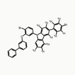 [2H]c1cc2c(c([2H])c1[2H])c1c([2H])c(-c3c([2H])c([2H])c([2H])c([2H])c3[2H])c([2H])c([2H])c1n2-c1ccc(Br)c(Oc2cccc(-c3ccccc3)c2)c1